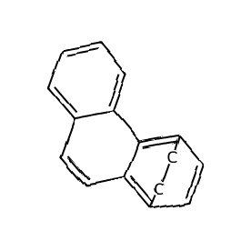 c1ccc2c(c1)ccc1c3ccc(c12)CC3